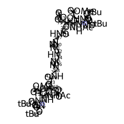 COC(=O)C1=C[C@H](N/C(=N/C(=O)OC(C)(C)C)NC(=O)OC(C)(C)C)[C@@H](NC(C)=O)[C@H]([C@H](OCC(=O)NCCn2cc(CNCc3cn(CCNC(=O)CO[C@@H]([C@@H]4OC(C(=O)OC)=C[C@H](N/C(=N/C(=O)OC(C)(C)C)NC(=O)OC(C)(C)C)[C@H]4NC(C)=O)[C@H]4COC(=O)O4)nn3)nn2)[C@H]2COC(=O)O2)O1